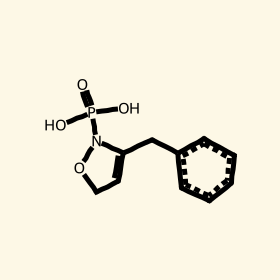 O=P(O)(O)N1OCC=C1Cc1ccccc1